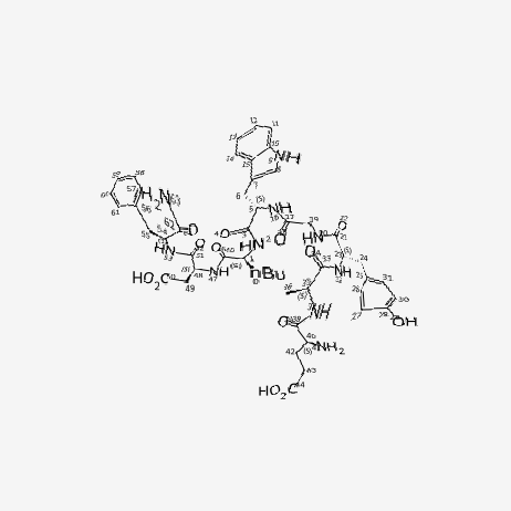 CCCC[C@H](NC(=O)[C@H](Cc1c[nH]c2ccccc12)NC(=O)CNC(=O)[C@H](Cc1ccc(O)cc1)NC(=O)[C@H](C)NC(=O)[C@@H](N)CCC(=O)O)C(=O)N[C@@H](CC(=O)O)C(=O)N[C@@H](Cc1ccccc1)C(N)=O